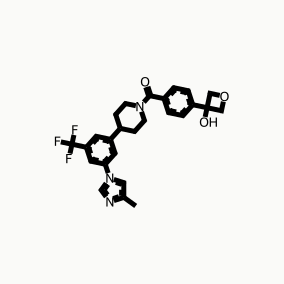 Cc1cn(-c2cc(C3CCN(C(=O)c4ccc(C5(O)COC5)cc4)CC3)cc(C(F)(F)F)c2)cn1